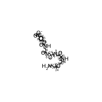 CN(CC(=O)C(C)(C)N(C)CC(=O)C(C)(C)NC(C)(C)CCOC(C)(C)CCN)C(=O)CCNC(=O)Oc1ccc([N+](=O)[O-])cc1